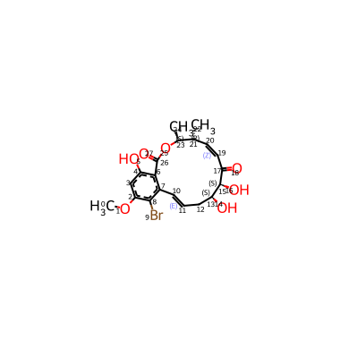 COc1cc(O)c2c(c1Br)/C=C/C[C@H](O)[C@H](O)C(=O)/C=C\[C@@H](C)[C@H](C)OC2=O